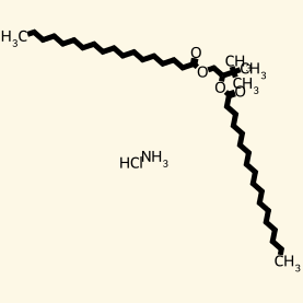 CCCCCCCCCCCCCCCCCC(=O)OCC(OC(=O)CCCCCCCCCCCCCCCCC)C(C)(C)C.Cl.N